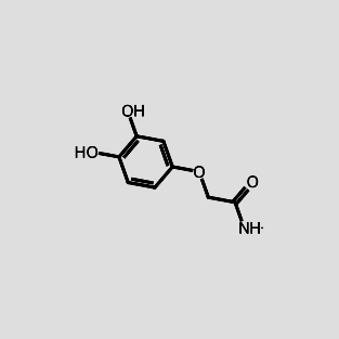 [NH]C(=O)COc1ccc(O)c(O)c1